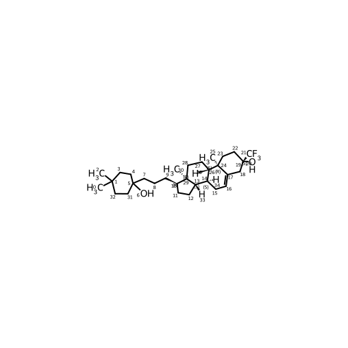 CC1(C)CCC(O)(CCC[C@@H]2CC[C@H]3[C@@H]4CC=C5C[C@](O)(C(F)(F)F)CC[C@]5(C)[C@H]4CC[C@]23C)CC1